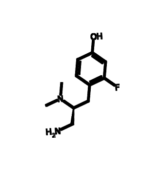 CN(C)[C@H](CN)Cc1ccc(O)cc1F